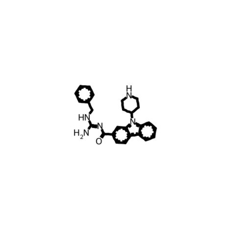 N/C(=N\C(=O)c1ccc2c3ccccc3n(C3CCNCC3)c2c1)NCc1ccccc1